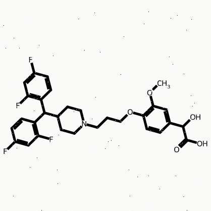 COc1cc(C(O)C(=O)O)ccc1OCCCN1CCC(C(c2ccc(F)cc2F)c2ccc(F)cc2F)CC1